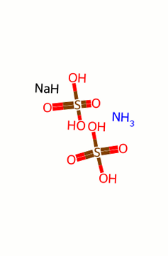 N.O=S(=O)(O)O.O=S(=O)(O)O.[NaH]